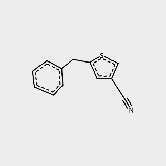 N#Cc1csc(Cc2ccccc2)c1